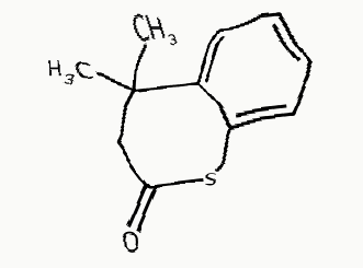 CC1(C)CC(=O)Sc2ccccc21